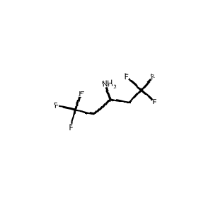 N[C](CC(F)(F)F)CC(F)(F)F